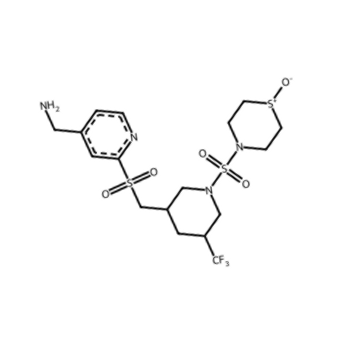 NCc1ccnc(S(=O)(=O)CC2CC(C(F)(F)F)CN(S(=O)(=O)N3CC[S+]([O-])CC3)C2)c1